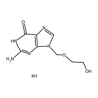 Nc1nc2c(ncn2COCCO)c(=O)[nH]1.[KH]